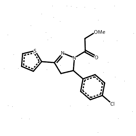 COCC(=O)N1N=C(c2cccs2)CC1c1ccc(Cl)cc1